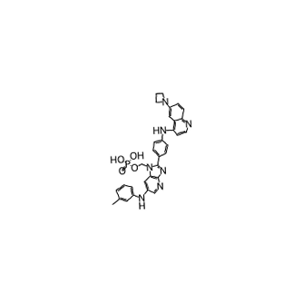 Cc1cccc(Nc2cnc3nc(-c4ccc(Nc5ccnc6ccc(N7CCC7)cc56)cc4)n(COP(=O)(O)O)c3c2)c1